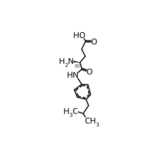 CC(C)Cc1ccc(NC(=O)[C@@H](N)CCC(=O)O)cc1